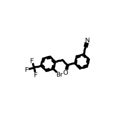 N#Cc1cccc(C(=O)Cc2ccc(C(F)(F)F)cc2Br)c1